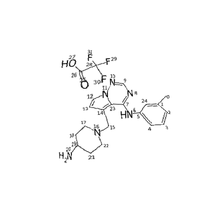 Cc1cccc(Nc2ncnn3ccc(CN4CCC(N)CC4)c23)c1.O=C(O)C(F)(F)F